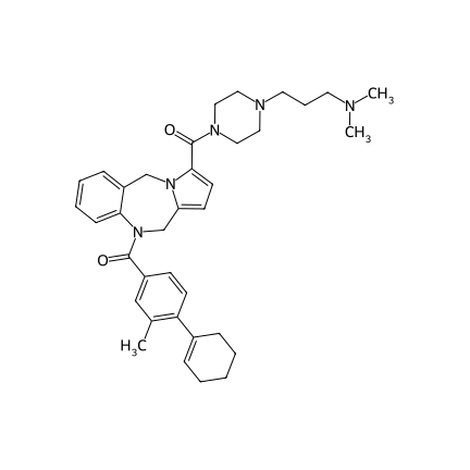 Cc1cc(C(=O)N2Cc3ccc(C(=O)N4CCN(CCCN(C)C)CC4)n3Cc3ccccc32)ccc1C1=CCCCC1